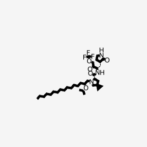 CCCCCCCCCCCCCCC(CN1CC2(CC2)C[C@H]1C(=O)N[C@@H](C[C@@H]1CCNC1=O)C(=O)COC(F)(F)F)OC(C)C